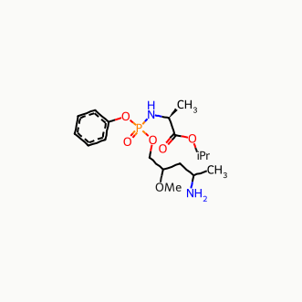 COC(COP(=O)(N[C@@H](C)C(=O)OC(C)C)Oc1ccccc1)CC(C)N